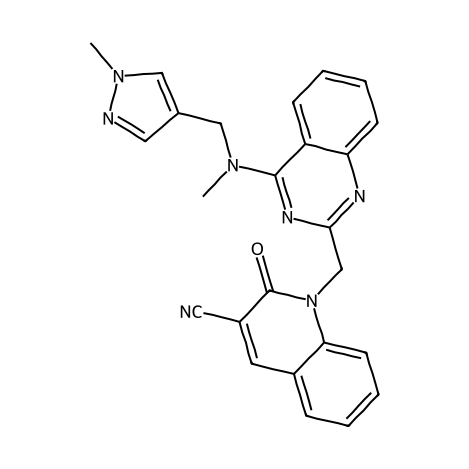 CN(Cc1cnn(C)c1)c1nc(Cn2c(=O)c(C#N)cc3ccccc32)nc2ccccc12